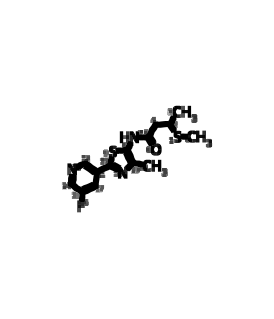 CSC(C)CC(=O)Nc1sc(-c2cncc(F)c2)nc1C